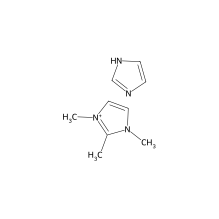 Cc1n(C)cc[n+]1C.c1c[nH]cn1